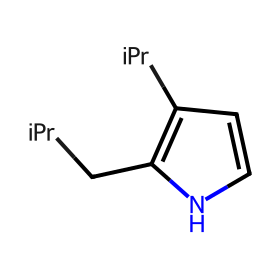 CC(C)Cc1[nH]ccc1C(C)C